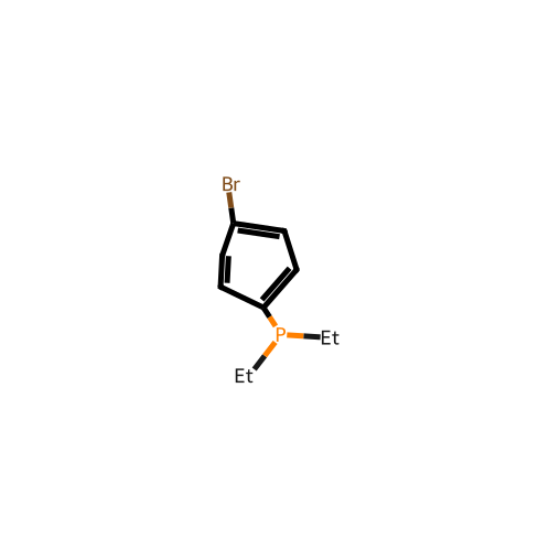 CCP(CC)c1ccc(Br)cc1